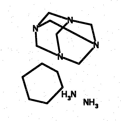 C1CCCCC1.C1N2CN3CN1CN(C2)C3.N.N